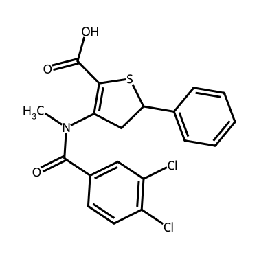 CN(C(=O)c1ccc(Cl)c(Cl)c1)C1=C(C(=O)O)SC(c2ccccc2)C1